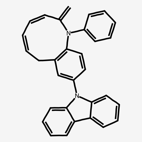 C=C1/C=C\C=C/Cc2cc(-n3c4ccccc4c4ccccc43)ccc2N1c1ccccc1